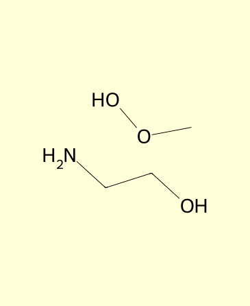 COO.NCCO